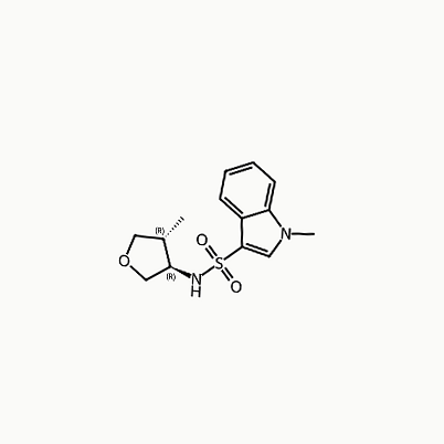 C[C@H]1COC[C@@H]1NS(=O)(=O)c1cn(C)c2ccccc12